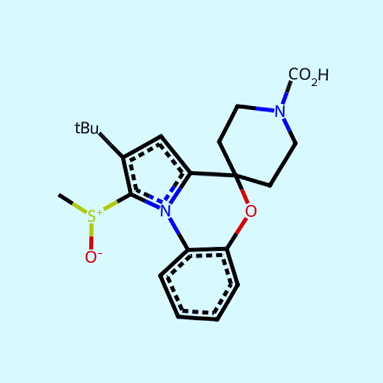 C[S+]([O-])c1c(C(C)(C)C)cc2n1-c1ccccc1OC21CCN(C(=O)O)CC1